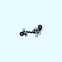 COP(=O)(O)C(CCCCCCN1C(=O)c2ccccc2C1=O)NC(=O)OCc1ccccc1